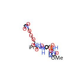 COC(C(C)C(=O)NCC(=O)NS(=O)(=O)Cc1ccc(NC(=O)CNC(=O)C(NC(=O)CCOCCOCCOCCN2C(=O)C=CC2=O)C(C)C)cc1)C1CCCN1C